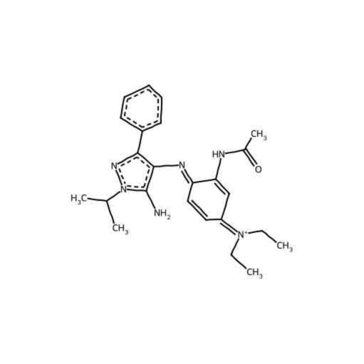 CC[N+](CC)=C1C=C/C(=N\c2c(-c3ccccc3)nn(C(C)C)c2N)C(NC(C)=O)=C1